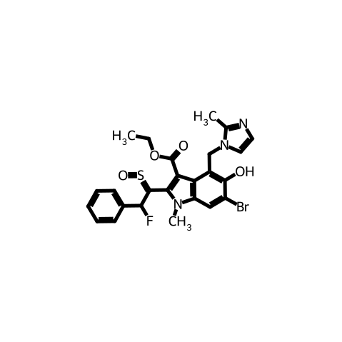 CCOC(=O)c1c(C(=S=O)C(F)c2ccccc2)n(C)c2cc(Br)c(O)c(Cn3ccnc3C)c12